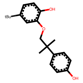 CC(C)(C)c1ccc(O)c(OCC(C)(C)c2ccc(O)cc2)c1